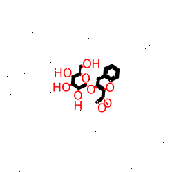 OC[C@H]1O[C@@H](OC2=C(C3COO3)Oc3ccccc3C2)[C@H](O)[C@@H](O)[C@H]1O